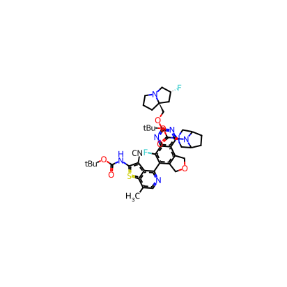 Cc1cnc(-c2c3c(c4c(N5C6CCC5CN(C(=O)OC(C)(C)C)C6)nc(OC[C@@]56CCCN5C[C@H](F)C6)nc4c2F)COC3)c2c(C#N)c(NC(=O)OC(C)(C)C)sc12